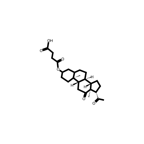 CC(=O)[C@H]1CC[C@H]2[C@@H]3CCC4CC(OC(=O)CCC(=O)O)CC[C@]4(C)[C@H]3CC(=O)[C@]12C